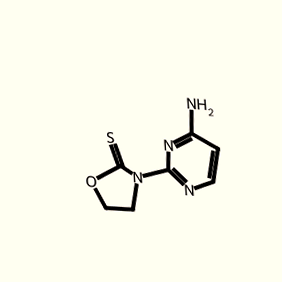 Nc1ccnc(N2CCOC2=S)n1